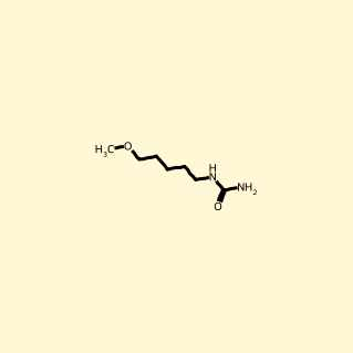 COCCCCCNC(N)=O